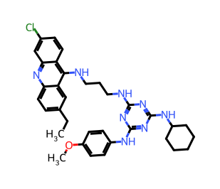 CCc1ccc2nc3cc(Cl)ccc3c(NCCCNc3nc(Nc4ccc(OC)cc4)nc(NC4CCCCC4)n3)c2c1